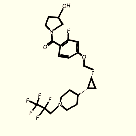 O=C(c1ccc(OCC[C@@H]2C[C@@H]2C2CCN(CC(F)(F)C(F)(F)F)CC2)cc1F)N1CCC(O)C1